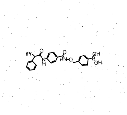 CC(C)C(C(=O)Nc1ccc(C(=O)NOCc2ccc(B(O)O)cc2)cc1)c1ccccc1